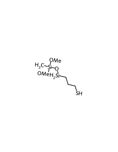 CO[Si](C)(OC)O[SiH2]CCCS